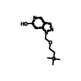 C[Si](C)(C)CCOCn1ncc2cnc(O)cc21